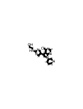 OCCNc1ncc(-c2cn(-c3cccnc3)c3ncnc(Cl)c23)cn1